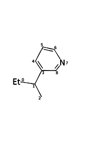 CCC(C)c1c[c]cnc1